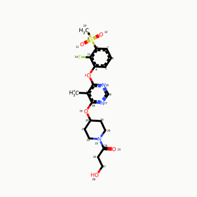 Cc1c(Oc2cccc(S(C)(=O)=O)c2F)ncnc1OC1CCN(C(=O)CCO)CC1